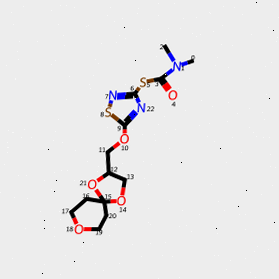 CN(C)C(=O)Sc1nsc(OCC2COC3(CCOCC3)O2)n1